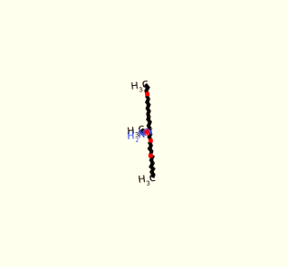 CC(N)=O.CCCCCCCCCCCCCCCCNCCCCCCCCCCCCCCCC